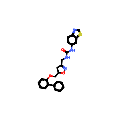 O=C(NCC1=NOC(COc2ccccc2-c2ccccc2)C1)Nc1ccc2ncsc2c1